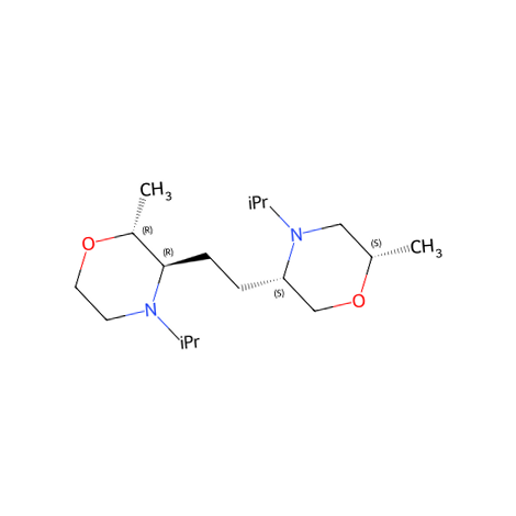 CC(C)N1C[C@H](C)OC[C@@H]1CC[C@@H]1[C@@H](C)OCCN1C(C)C